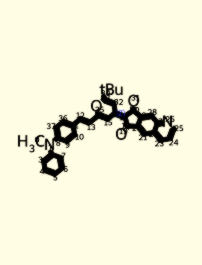 CN(c1ccccc1)c1ccc(C=CC2=C/C(=C3\C(=O)c4cc5cccnc5cc4C3=O)C=C(C(C)(C)C)O2)cc1